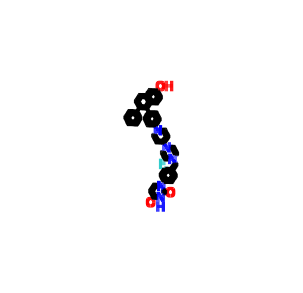 O=C1CCN(c2ccc(CN3CCN(C4CCN(c5ccc([C@@H]6c7ccc(O)cc7CC[C@@H]6c6ccccc6)cc5)CC4)CC3)c(F)c2)C(=O)N1